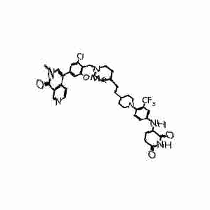 COc1cc(-c2cn(C)c(=O)c3cnccc23)cc(Cl)c1CN1CCC(CCC2CCN(c3ccc(NC4CCC(=O)NC4=O)cc3C(F)(F)F)CC2)CC1